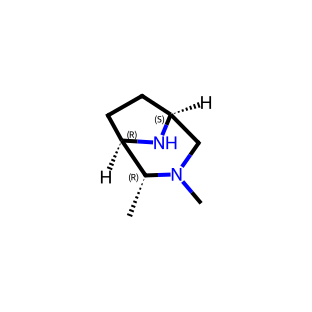 C[C@@H]1[C@H]2CC[C@@H](CN1C)N2